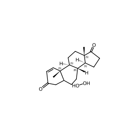 C[C@]12C=CC(=O)CC1CC[C@@H]1[C@@H]2CC[C@]2(C)C(=O)CC[C@@H]12.OO